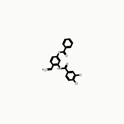 C=Cc1ccc(OC(=O)c2ccccc2)cc1NC(=O)c1ccc(Cl)c(Cl)c1